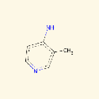 Cc1cnccc1[NH]